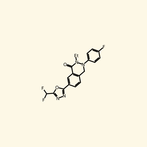 CCN1C(=O)c2cc(-c3nnc(C(F)F)o3)ccc2CN1c1ccc(F)cc1